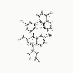 C=CC(=O)Nc1cc(Nc2ncc3c(=O)ncn(-c4cccc(F)c4)c3n2)ccc1N(C)C1CCN(C)C1